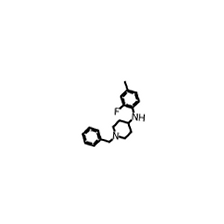 Cc1ccc(NC2CCN(Cc3ccccc3)CC2)c(F)c1